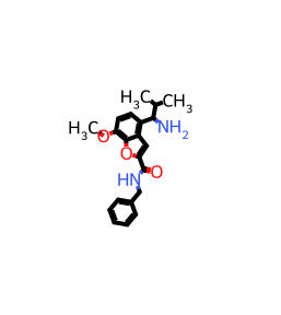 COc1ccc(C(N)C(C)C)c2cc(C(=O)NCc3ccccc3)oc12